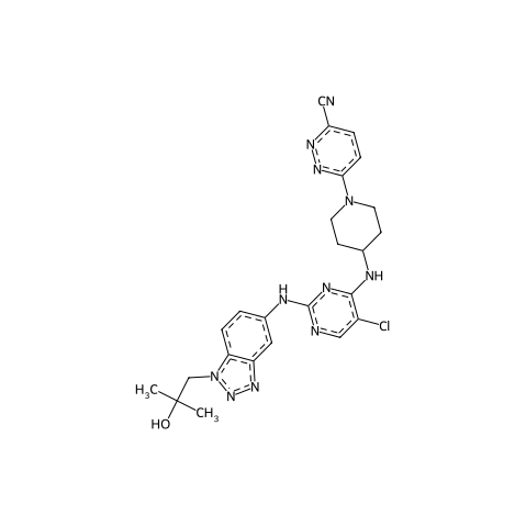 CC(C)(O)Cn1nnc2cc(Nc3ncc(Cl)c(NC4CCN(c5ccc(C#N)nn5)CC4)n3)ccc21